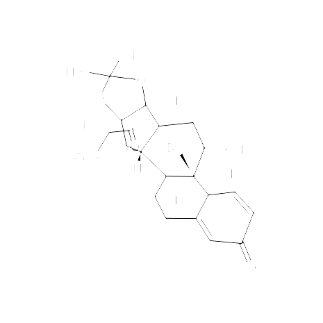 CC(=O)OCC(=O)[C@@]12OC(C)(C)O[C@@H]1C[C@H]1[C@@H]3CCC4=CC(=O)C=C[C@]4(C)[C@@]3(Br)[C@@H](O)C[C@@]12C